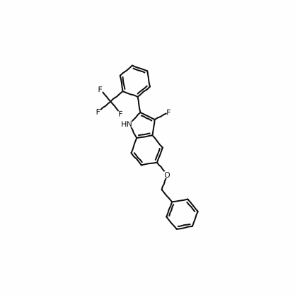 Fc1c(-c2ccccc2C(F)(F)F)[nH]c2ccc(OCc3ccccc3)cc12